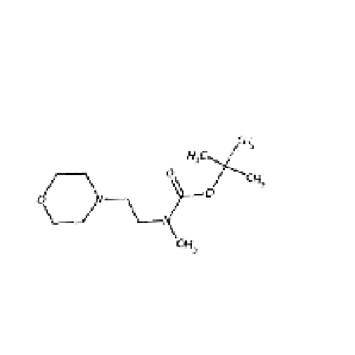 CN(CCN1CCOCC1)C(=O)OC(C)(C)C